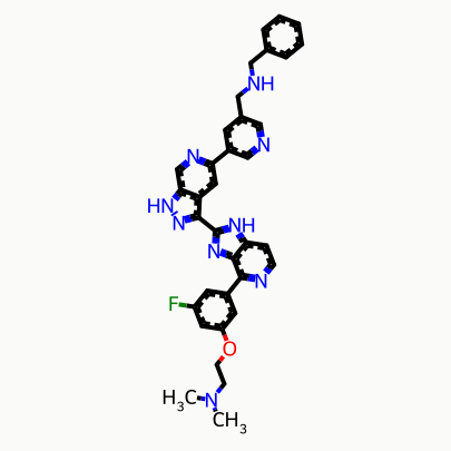 CN(C)CCOc1cc(F)cc(-c2nccc3[nH]c(-c4n[nH]c5cnc(-c6cncc(CNCc7ccccc7)c6)cc45)nc23)c1